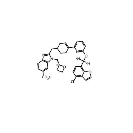 [2H]C([2H])(Oc1cccc(C2=CCC(Cc3nc4ccc(C(=O)O)cc4n3C[C@@H]3CCO3)CC2)n1)c1ccc(Cl)c2ccoc12